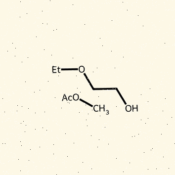 CCOCCO.COC(C)=O